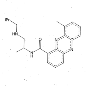 Cc1cccc2nc3cccc(C(=O)NC(C)CNCC(C)C)c3nc12